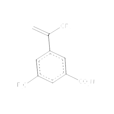 C=C(c1cc(C(=O)O)cc(C(F)(F)F)c1)C(F)(F)F